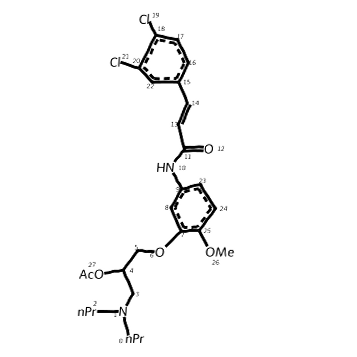 CCCN(CCC)CC(COc1cc(NC(=O)C=Cc2ccc(Cl)c(Cl)c2)ccc1OC)OC(C)=O